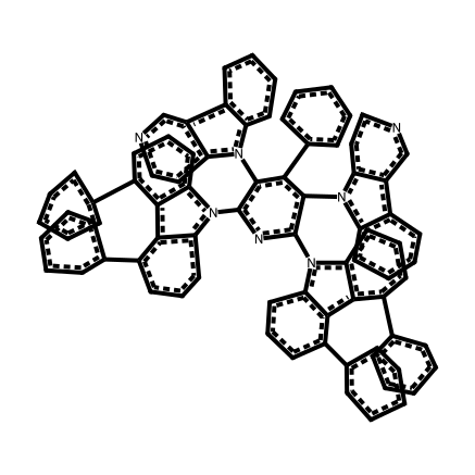 c1ccc(-c2c(-n3c4ccccc4c4cnccc43)c(-n3c4cccc(-c5ccccc5)c4c4c(-c5ccccc5)cccc43)nc(-n3c4cccc(-c5ccccc5)c4c4c(-c5ccccc5)cccc43)c2-n2c3ccccc3c3cnccc32)cc1